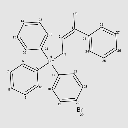 C/C(=C/C[P+](c1ccccc1)(c1ccccc1)c1ccccc1)c1ccccc1.[Br-]